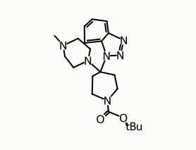 CN1CCN(C2(n3nnc4ccccc43)CCN(C(=O)OC(C)(C)C)CC2)CC1